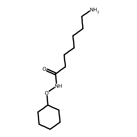 NCCCCCCC(=O)NOC1CCCCC1